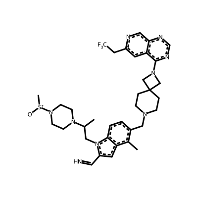 Cc1c(CN2CCC3(CC2)CN(c2ncnc4cnc(CC(F)(F)F)cc24)C3)ccc2c1cc(C=N)n2CC(C)N1CCN([S+](C)[O-])CC1